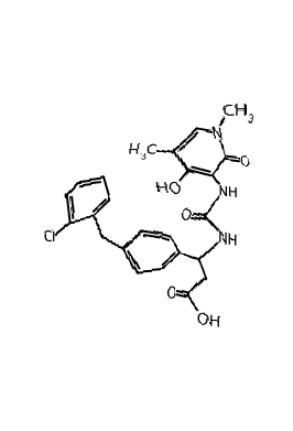 Cc1cn(C)c(=O)c(NC(=O)NC(CC(=O)O)c2ccc(Cc3ccccc3Cl)cc2)c1O